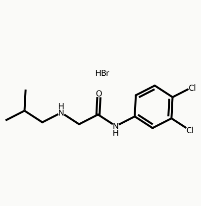 Br.CC(C)CNCC(=O)Nc1ccc(Cl)c(Cl)c1